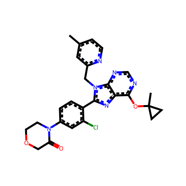 Cc1ccnc(Cn2c(-c3ccc(N4CCOCC4=O)cc3Cl)nc3c(OC4(C)CC4)ncnc32)c1